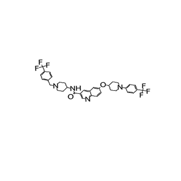 O=C(NC1CCN(Cc2ccc(C(F)(F)F)cc2)CC1)c1cnc2ccc(OC3CCN(c4ccc(C(F)(F)F)cc4)CC3)cc2c1